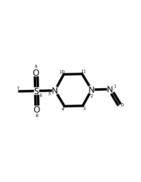 C=NN1CCN(S(C)(=O)=O)CC1